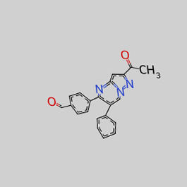 CC(=O)c1cc2nc(-c3ccc(C=O)cc3)c(-c3ccccc3)cn2n1